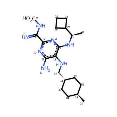 C[C@@H](Nc1nc(C(=N)NC(=O)O)nc(N)c1NC[C@H]1CC[C@H](C)CC1)C1CCC1